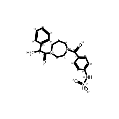 CC(C(=O)N1CCCN(C(=O)c2ccc(N[SH](=O)=O)cc2)CC1)c1ccccc1